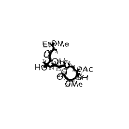 CCC(OC)C(C)C1OC1C(O)C(C)(O)/C=C/C=C(\C)C1OC(=O)CC(OC)CCC(C)(O)C(OC(C)=O)/C=C/C1C